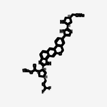 COC[C@@H]1CN[C@H](c2ncc(-c3ccc4c(c3)COc3cc5c(ccc6nc([C@@H]7C[C@H](COC(F)F)CN7C(=O)OC(C)(C)C)[nH]c65)cc3-4)[nH]2)C1